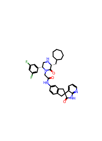 O=C(CN1C(=O)[C@@H](CC2CCCCCC2)NC[C@H]1c1cc(F)cc(F)c1)Nc1ccc2c(c1)CC1(C2)C(=O)Nc2ncccc21